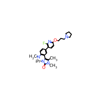 C=Nc1ccc(-c2ccc(OCCCN3CCCC3)nc2F)cc1-c1c(C)n(C)c(=O)n1C(C)C